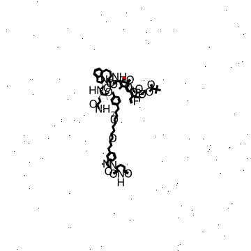 C=C\C(=C/C=C(C)/C(C)=C/C(=O)N[C@H]1CCc2cccc3c2N(C1=O)[C@H](C(=O)N[C@@H](CCC(N)=O)[C@@H](C)OCc1ccc(CCCOCCCCOCCCc2ccc4c(c2)n(C)c(=O)n4C2CCC(=O)NC2=O)cc1)C3)C(F)(F)P(=O)(OCOC(=O)C(C)(C)C)OCOC(=O)C(C)(C)C